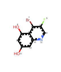 Oc1cc(O)c2c(Br)c(F)cnc2c1